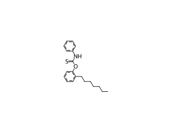 CCCCCCCc1ccccc1OC(=S)Nc1ccccc1